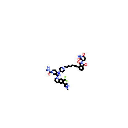 CNC(=O)N1CCc2c(c(N3CCCc4cc(-c5cnn(C)c5)c(C(F)F)cc43)nn2C2CCN(CCCCCC#Cc3cccc4c3C(=O)N(C3CCC(=O)NC3=O)C4=O)CC2)C1